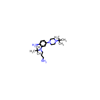 CC(C)(C)N1CCN(c2ccc(N)c(N(CCCN)C(C)(C)C)c2)CC1